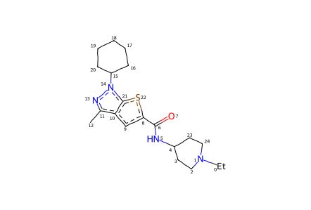 [CH2]CN1CCC(NC(=O)c2cc3c(C)nn(C4CCCCC4)c3s2)CC1